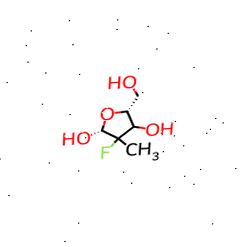 CC1(F)C(O)[C@@H](CO)O[C@H]1O